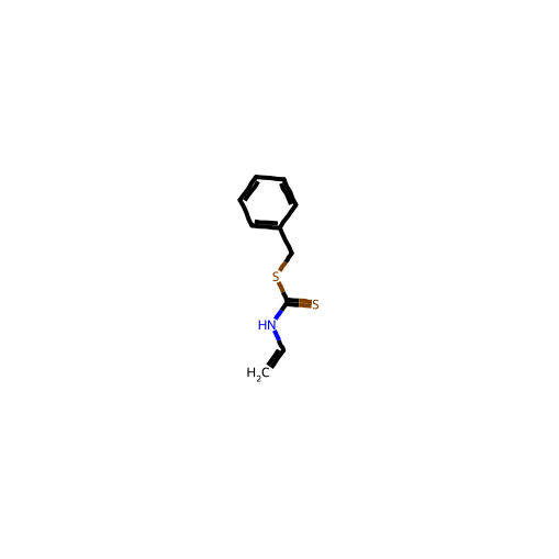 C=CNC(=S)SCc1ccccc1